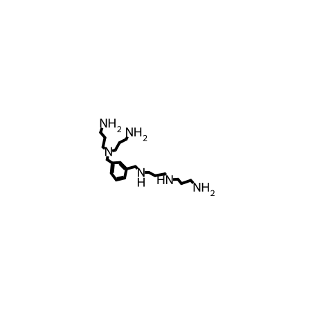 NCCCNCCCNCc1cccc(CN(CCCN)CCCN)c1